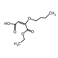 CCCCOC(=CC(=O)O)C(=O)OCC